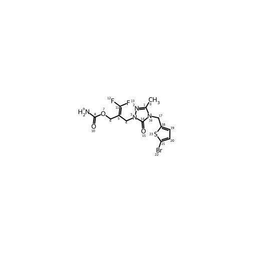 Cc1nn(CC(COC(N)=O)=C(F)F)c(=O)n1Cc1ccc(Br)s1